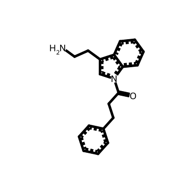 NCCc1cn(C(=O)CCc2ccccc2)c2ccccc12